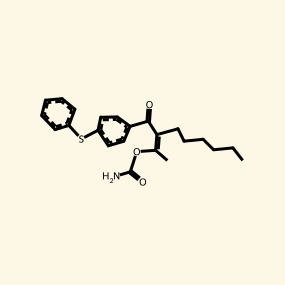 CCCCCCC(C(=O)c1ccc(Sc2ccccc2)cc1)=C(C)OC(N)=O